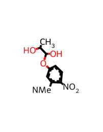 CNc1cc(OC(O)C(C)O)ccc1[N+](=O)[O-]